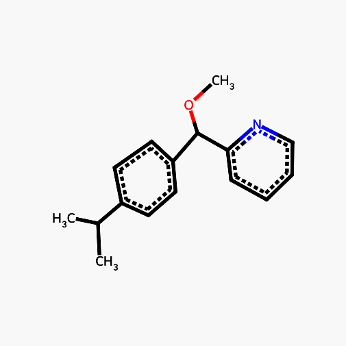 COC(c1ccc(C(C)C)cc1)c1ccccn1